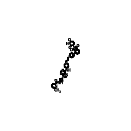 Cc1cccc(C(=O)NC2CC(n3cnc4c(NC5CCN(CCCN6CCN(c7cccc8c7C(=O)N([C@H]7CCC(=O)NC7=O)C8=O)CC6)CC5)ncnc43)C2)n1